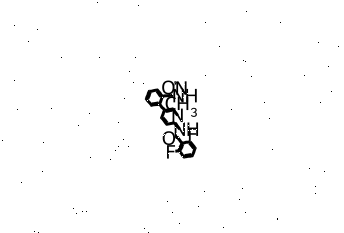 CC1(c2ccccc2-c2ccc(NC(=O)c3c(F)cccc3F)nc2)NN=CO1